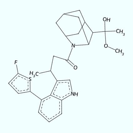 COC(C)(O)C1C2CC3CC(C2)N(C(=O)CC(C)c2c[nH]c4cccc(-c5ccc(F)s5)c24)C1C3